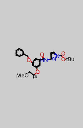 COC[C@H](C)Oc1cc(OCc2ccccc2)cc(C(=O)Nc2ccn(C(=O)OC(C)(C)C)n2)c1